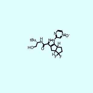 CC(C)(C)[C@@H](CO)NC(=O)c1nn(-c2c[n+]([O-])ccn2)c2c1C[C@@H]1[C@H]2CCC1(F)F